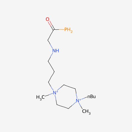 CCCC[N+]1(C)CC[N+](C)(CCCNCC(=O)P)CC1